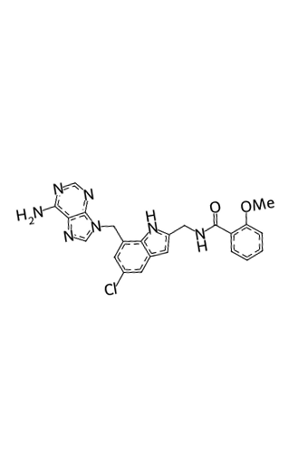 COc1ccccc1C(=O)NCc1cc2cc(Cl)cc(Cn3cnc4c(N)ncnc43)c2[nH]1